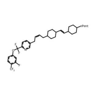 CCCCCC1CCC(/C=C/C2CCC(C/C=C\Cc3ccc(C(F)(F)Oc4ccc(C(F)(F)F)c(F)c4)nc3)CC2)CC1